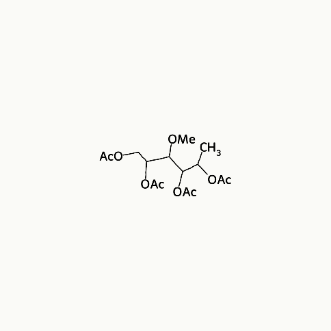 COC(C(COC(C)=O)OC(C)=O)C(OC(C)=O)C(C)OC(C)=O